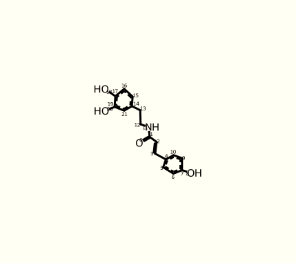 O=C(/C=C/c1ccc(O)cc1)NCCc1ccc(O)c(O)c1